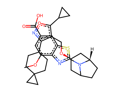 COc1cc(C(=O)O)cc2sc(N3C4CC[C@H]3C[C@H](OCc3c(C5CCC6(CC5)CC6)noc3C3CC3)C4)nc12